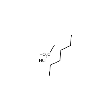 CC(=O)O.CCCCCC.Cl